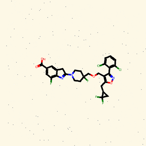 O=C(O)c1cc(F)c2c(c1)CC(N1CCC(F)(COCc3c(-c4c(Cl)cccc4Cl)noc3CC3CC3(F)F)CC1)=N2